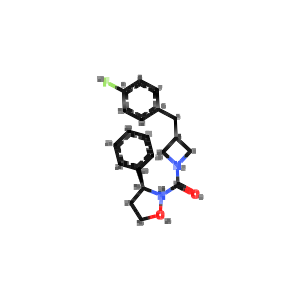 O=C(N1CC(Cc2ccc(F)cc2)C1)N1OCC[C@H]1c1ccccc1